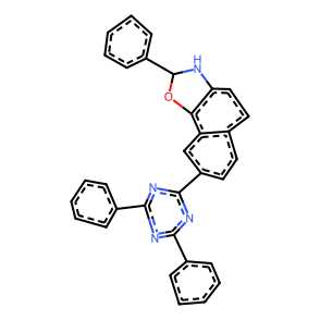 c1ccc(-c2nc(-c3ccccc3)nc(-c3ccc4ccc5c(c4c3)OC(c3ccccc3)N5)n2)cc1